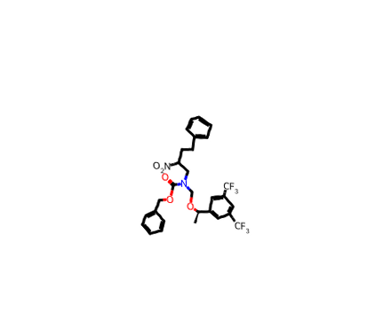 C[C@@H](OCN(CC(CCc1ccccc1)[N+](=O)[O-])C(=O)OCc1ccccc1)c1cc(C(F)(F)F)cc(C(F)(F)F)c1